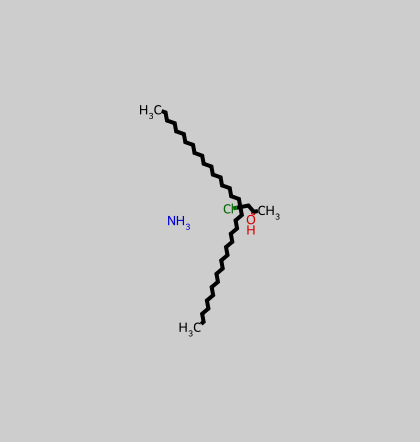 CCCCCCCCCCCCCCCCCCC(Cl)(CCCCCCCCCCCCCCCCCC)CC(C)O.N